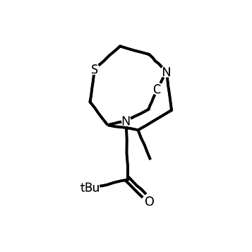 CC1CN2CCSCC1N(C(=O)C(C)(C)C)CC2